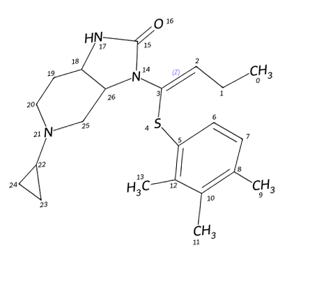 CC/C=C(\Sc1ccc(C)c(C)c1C)N1C(=O)NC2CCN(C3CC3)CC21